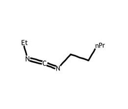 CCCCCN=C=NCC